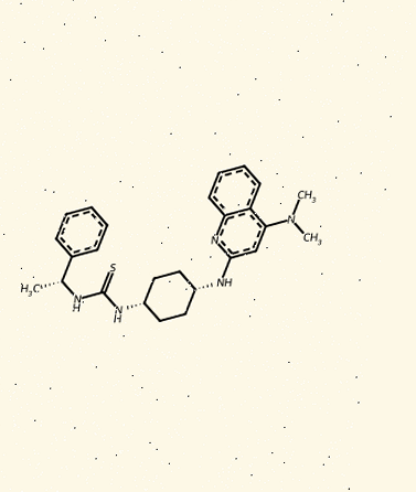 C[C@@H](NC(=S)N[C@H]1CC[C@@H](Nc2cc(N(C)C)c3ccccc3n2)CC1)c1ccccc1